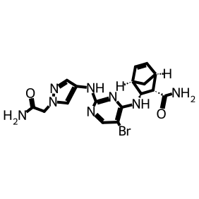 NC(=O)Cn1cc(Nc2ncc(Br)c(N[C@H]3[C@@H](C(N)=O)[C@@H]4C=C[C@H]3C4)n2)cn1